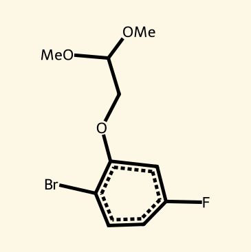 COC(COc1cc(F)ccc1Br)OC